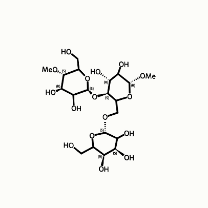 CO[C@@H]1OC(CO[C@H]2OC(CO)[C@H](O)[C@H](O)C2O)[C@@H](O[C@@H]2OC(CO)[C@@H](OC)[C@H](O)C2O)[C@H](O)C1O